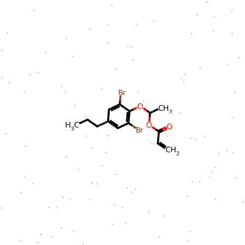 C=CC(=O)OC(C)Oc1c(Br)cc(CCC)cc1Br